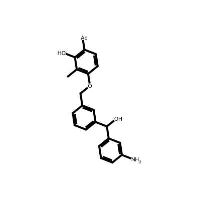 CC(=O)c1ccc(OCc2cccc(C(O)c3cccc(N)c3)c2)c(C)c1O